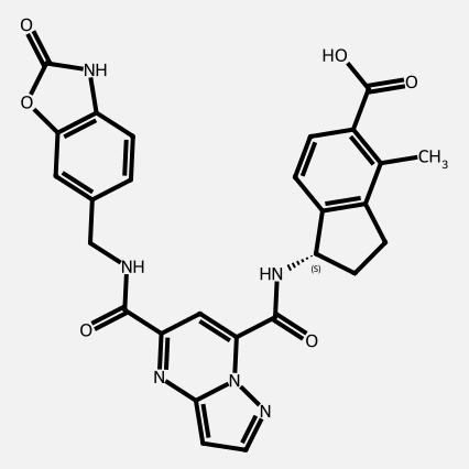 Cc1c(C(=O)O)ccc2c1CC[C@@H]2NC(=O)c1cc(C(=O)NCc2ccc3[nH]c(=O)oc3c2)nc2ccnn12